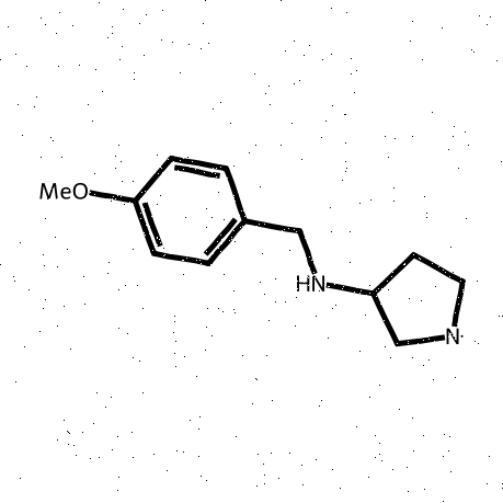 COc1ccc(CNC2CC[N]C2)cc1